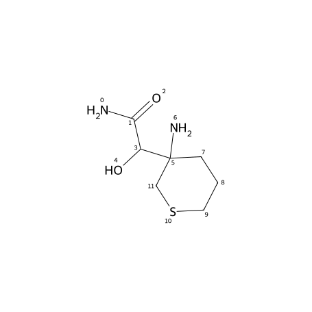 NC(=O)C(O)C1(N)CCCSC1